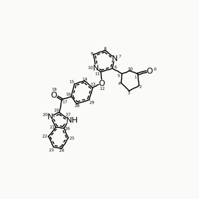 O=C1CCCC(c2nccnc2Oc2ccc(C(=O)c3nc4ccccc4[nH]3)cc2)C1